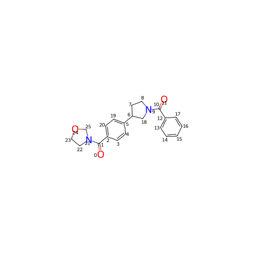 O=C(c1ccc(C2CCN(C(=O)c3ccccc3)C2)cc1)N1CCOC1